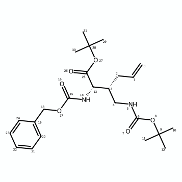 C=CC[C@H](CNC(=O)OC(C)(C)C)[C@H](NC(=O)OCc1ccccc1)C(=O)OC(C)(C)C